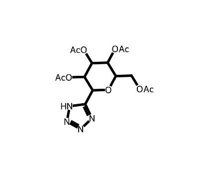 CC(=O)OCC1OC(c2nnn[nH]2)C(OC(C)=O)C(OC(C)=O)C1OC(C)=O